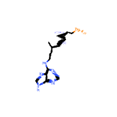 CC(/C=C\C=C/CP)CCNc1ncnc2[nH]cnc12